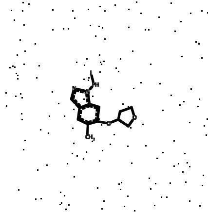 Cc1cc2cnn(PI)c2cc1OC1CCOC1